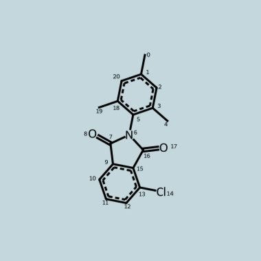 Cc1cc(C)c(N2C(=O)c3cccc(Cl)c3C2=O)c(C)c1